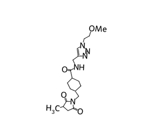 COCCn1cc(CNC(=O)C2CCC(CN3C(=O)CC(C)C3=O)CC2)nn1